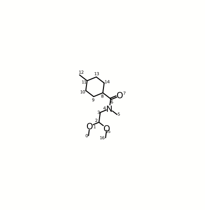 COC(CN(C)C(=O)C1CCC(C)CC1)OC